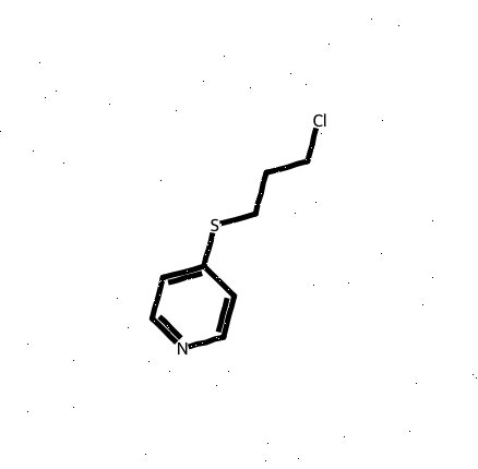 ClCCCSc1ccncc1